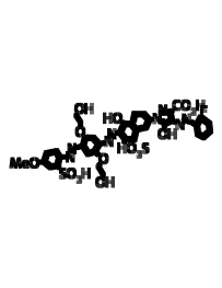 COc1ccc(/N=N/c2cc(OCCO)c(/N=N/c3c(S(=O)(=O)O)cc4cc(-n5nc(C(=O)O)c(/N=N/c6ccccc6F)c5O)ccc4c3O)cc2OCCO)c(S(=O)(=O)O)c1